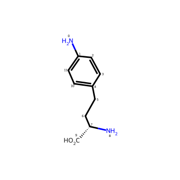 Nc1ccc(CC[C@H](N)C(=O)O)cc1